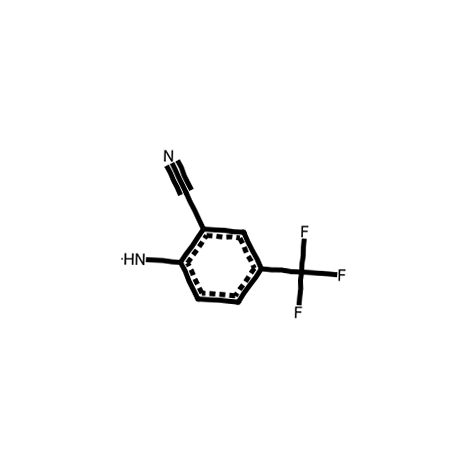 N#Cc1cc(C(F)(F)F)ccc1[NH]